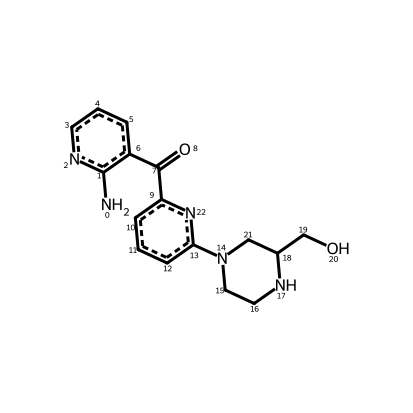 Nc1ncccc1C(=O)c1cccc(N2CCNC(CO)C2)n1